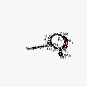 COCCOCCOCCOCCNC(=O)O[C@@H]1/C(C)=C/[C@@H](C)C(=O)C[C@@H]([C@H](N)C[C@@H]2CC[C@@H](O)[C@H](OC)C2)OC(=O)[C@@H]2CCCCN2C(=O)C(=O)[C@]2(O)O[C@@H](CC[C@H]2C)C[C@H](OC)/C(C)=C/C=C/C=C/[C@@H](C)CC(C)C(=O)[C@@H]1O